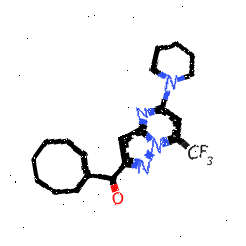 O=C(c1cc2nc(N3CCCCC3)cc(C(F)(F)F)n2n1)C1CCCCCCC1